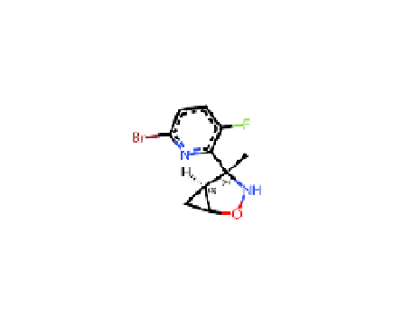 C[C@@]1(c2nc(Br)ccc2F)NOC2C[C@H]21